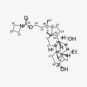 CC[C@H]1[C@@H](O)[C@@H]2[C@H](CC[C@]3(C)C([C@H](C)CCOC(=O)N4CCC4)CC[C@@H]23)[C@@]2(C)CC[C@@H](O)C[C@@H]12